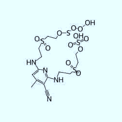 Cc1cc(NCCS(=O)(=O)CCOSOOO)nc(NCCS(=O)(=O)CCOS(=O)(=O)O)c1C#N